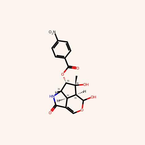 C[C@]1(O)[C@@H](OC(=O)c2ccc([N+](=O)[O-])cc2)[C@H]2NC(=O)C3=COC(O)[C@H]1[C@@H]32